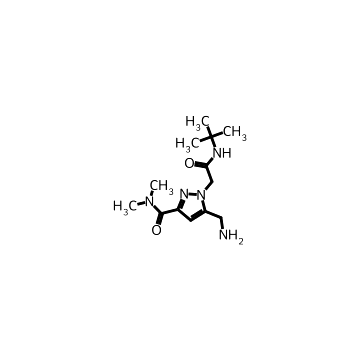 CN(C)C(=O)c1cc(CN)n(CC(=O)NC(C)(C)C)n1